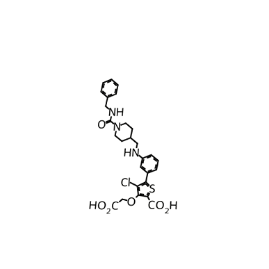 O=C(O)COc1c(C(=O)O)sc(-c2cccc(NCC3CCN(C(=O)NCc4ccccc4)CC3)c2)c1Cl